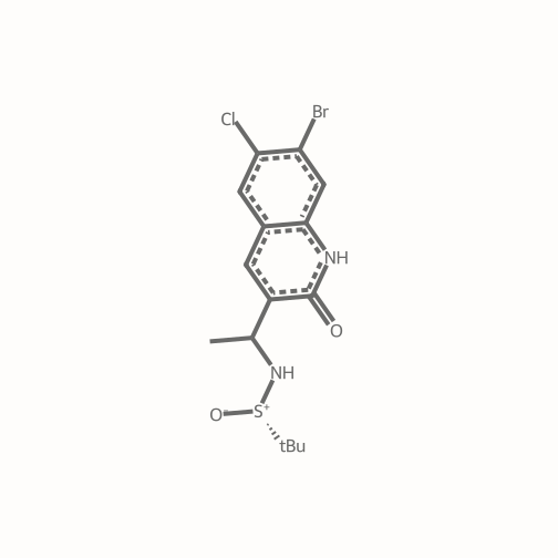 CC(N[S@@+]([O-])C(C)(C)C)c1cc2cc(Cl)c(Br)cc2[nH]c1=O